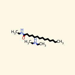 CCCCCCCCCCCCCC(=O)NCC.CCNCC